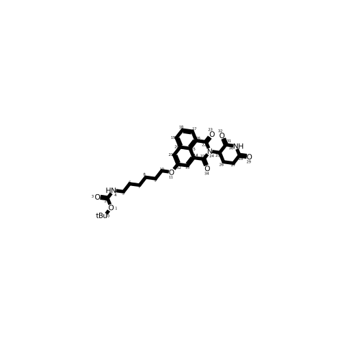 CC(C)(C)OC(=O)NCCCCCCOc1cc2c3c(cccc3c1)C(=O)N(C1CCC(=O)NC1=O)C2=O